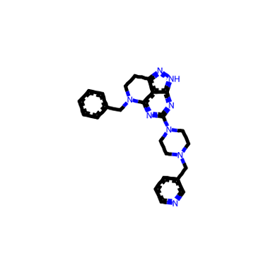 c1ccc(CN2CCc3n[nH]c4nc(N5CCN(Cc6cccnc6)CC5)nc2c34)cc1